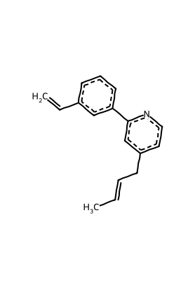 C=Cc1cccc(-c2cc(CC=CC)ccn2)c1